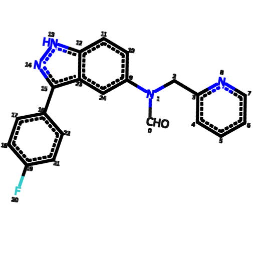 O=CN(Cc1ccccn1)c1ccc2[nH]nc(-c3ccc(F)cc3)c2c1